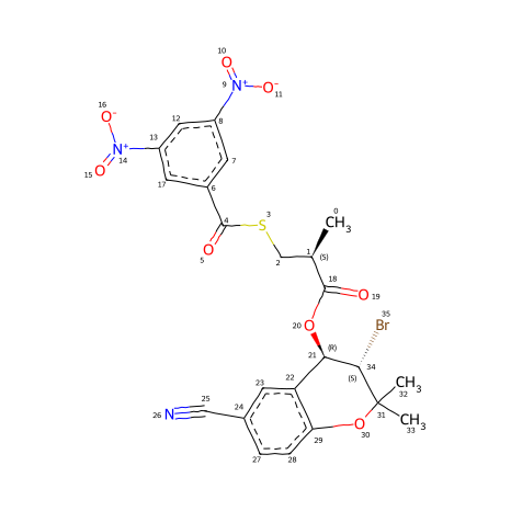 C[C@H](CSC(=O)c1cc([N+](=O)[O-])cc([N+](=O)[O-])c1)C(=O)O[C@@H]1c2cc(C#N)ccc2OC(C)(C)[C@H]1Br